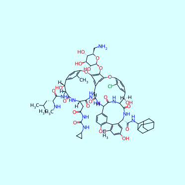 CN[C@H](CC(C)C)C(=O)N[C@H]1C(=O)N[C@@H](CC(=O)NC(=O)NC2CC2)C(=O)N[C@H]2C(=O)N[C@H]3C(=O)N[C@H](C(=O)N[C@H](C(=O)NC4C5CC6CC(C5)CC4C6)c4cc(O)cc(C)c4-c4cc3ccc4O)[C@H](O)c3ccc(c(Cl)c3)Oc3cc2cc(c3O[C@@H]2O[C@H](CN)[C@@H](O)[C@H](O)[C@H]2O)Oc2ccc(cc2C)[C@H]1O